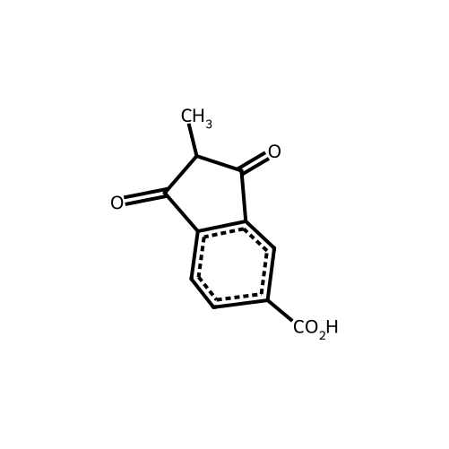 CC1C(=O)c2ccc(C(=O)O)cc2C1=O